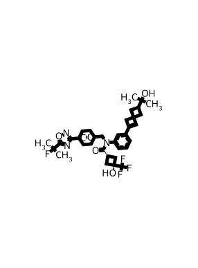 CC(C)(F)c1nc(C23CCC(CN(c4cccc(C5=CC6(C5)CC(C(C)(C)O)C6)c4)C(=O)[C@H]4C[C@](O)(C(F)(F)F)C4)(CC2)CC3)no1